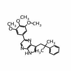 COc1cc(-c2cnc3[nH]cc(CC(C)(C)c4ccccc4)c3n2)cc(OC)c1OC